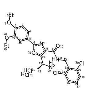 CCOc1ccc(-c2nc(C(=O)NCc3c(Cl)cncc3Cl)c([C@H](C)N)o2)cc1OCC.Cl.Cl